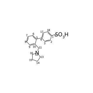 O=S(=O)(O)c1ccc(-c2ccccc2CN2CCCC2)cc1